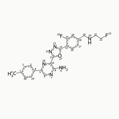 Cc1ccc(-c2cnc(N)c(-c3nnc(-c4ccc(CNCCF)cc4F)o3)n2)cc1